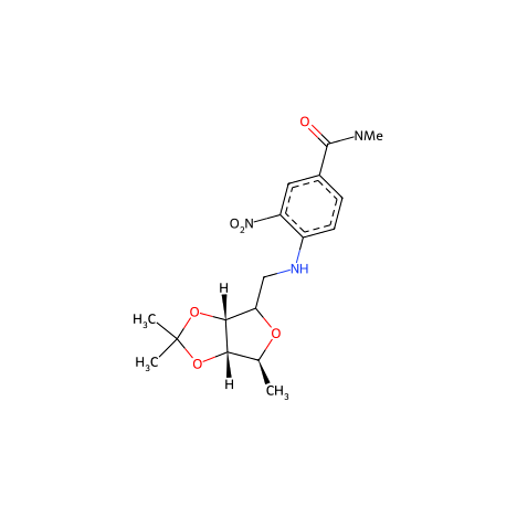 CNC(=O)c1ccc(NCC2O[C@@H](C)[C@@H]3OC(C)(C)O[C@H]23)c([N+](=O)[O-])c1